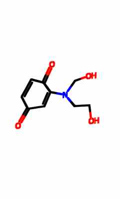 O=C1C=CC(=O)C(N(CO)CCO)=C1